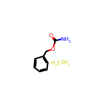 NC(=O)OCc1ccccc1.S.S